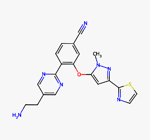 Cn1nc(-c2nccs2)cc1Oc1cc(C#N)ccc1-c1ncc(CCN)cn1